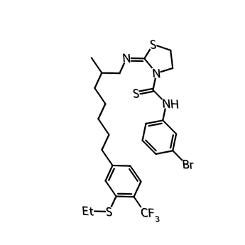 CCSc1cc(CCCCCC(C)CN=C2SCCN2C(=S)Nc2cccc(Br)c2)ccc1C(F)(F)F